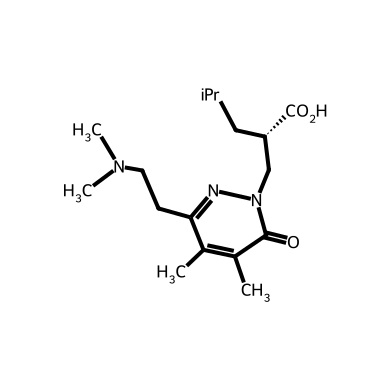 Cc1c(CCN(C)C)nn(C[C@H](CC(C)C)C(=O)O)c(=O)c1C